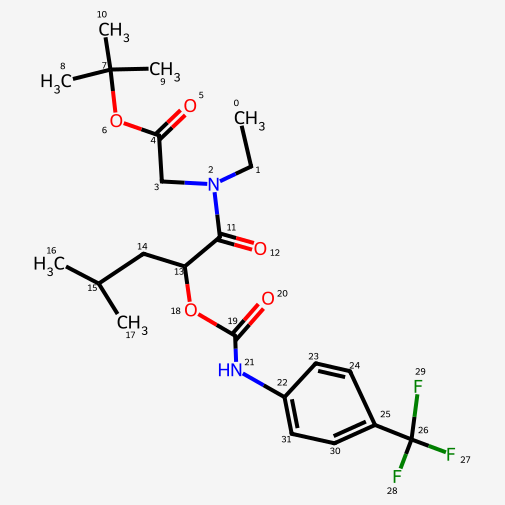 CCN(CC(=O)OC(C)(C)C)C(=O)C(CC(C)C)OC(=O)Nc1ccc(C(F)(F)F)cc1